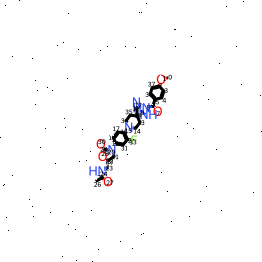 COc1ccc(C(=O)NNC2(C#N)CCN(c3ccc(N4C[C@H](CNC(C)=O)OC4=O)cc3F)CC2)cc1